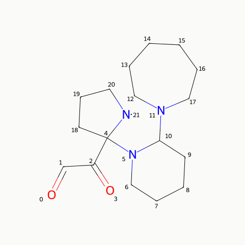 O=CC(=O)C1(N2CCCCC2N2CCCCCC2)CCC[N]1